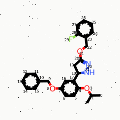 CC(C)Oc1ccc(OCc2ccccc2)cc1C1CC(OCc2ccccc2F)=NN1